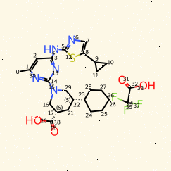 Cc1cc(Nc2ncc(C3CC3)s2)nc(N2C[C@@H](C(=O)O)C[C@@H](C3CCCCC3)C2)n1.O=C(O)C(F)(F)F